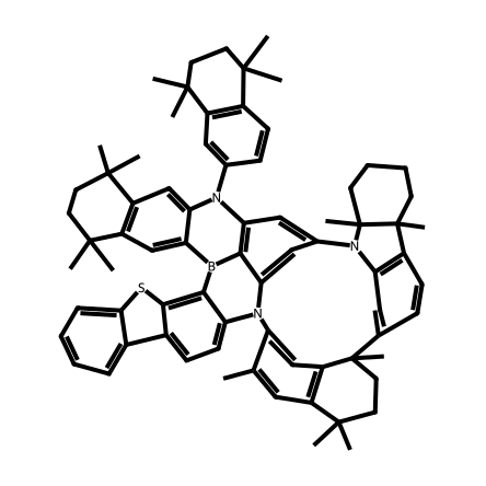 Cc1cc2c3cc1N1c4cc(cc5c4B(c4cc6c(cc4N5c4ccc5c(c4)C(C)(C)CCC5(C)C)C(C)(C)CCC6(C)C)c4c1ccc1c4sc4ccccc41)N1c4cc(ccc4C4(C)CCCCC14C)C3(C)CCC2(C)C